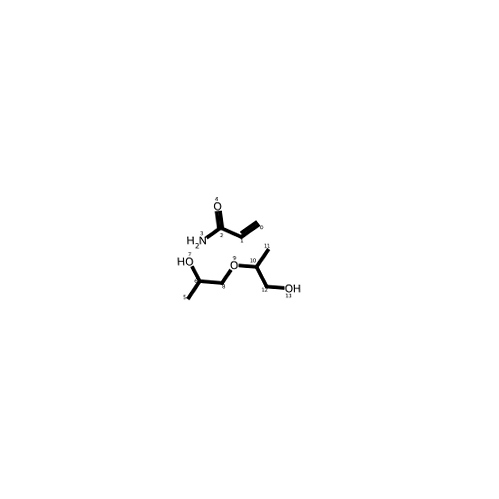 C=CC(N)=O.CC(O)COC(C)CO